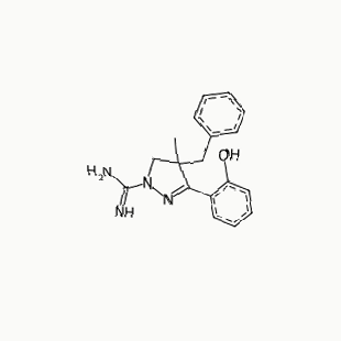 CC1(Cc2ccccc2)CN(C(=N)N)N=C1c1ccccc1O